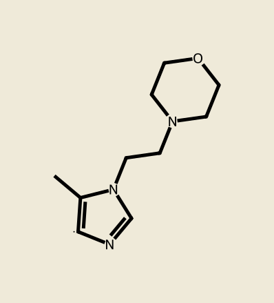 Cc1[c]ncn1CCN1CCOCC1